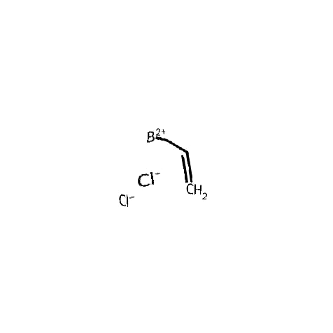 [B+2]C=C.[Cl-].[Cl-]